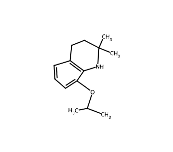 CC(C)Oc1cccc2c1NC(C)(C)CC2